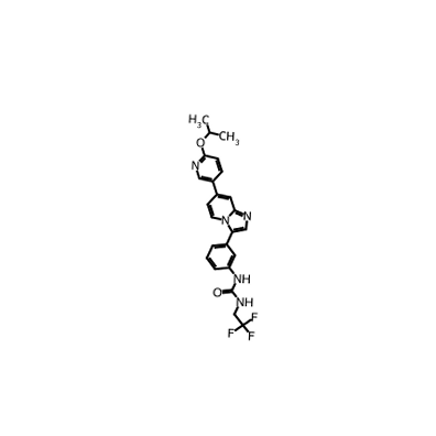 CC(C)Oc1ccc(-c2ccn3c(-c4cccc(NC(=O)NCC(F)(F)F)c4)cnc3c2)cn1